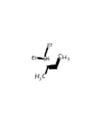 C/[C]=C/C.CCNCC